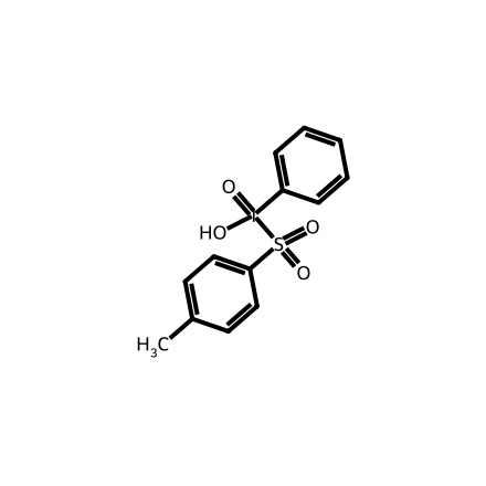 Cc1ccc(S(=O)(=O)I(=O)(O)c2ccccc2)cc1